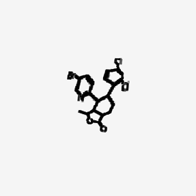 CC1OC(=O)C2CCC(c3ccc(Cl)cc3Cl)C(c3ccc(Br)cn3)C12